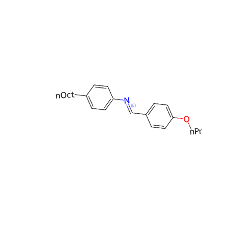 CCCCCCCCc1ccc(/N=C/c2ccc(OCCC)cc2)cc1